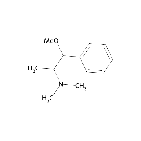 COC(c1ccccc1)C(C)N(C)C